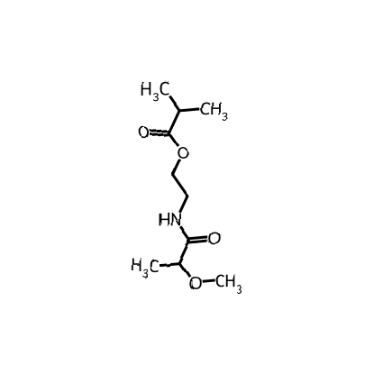 COC(C)C(=O)NCCOC(=O)C(C)C